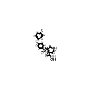 O=C(NO)C1(NS(=O)(=O)c2ccc(Oc3ccc(F)cc3)cc2)CCNCC1